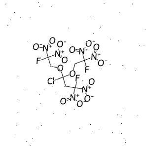 O=[N+]([O-])C(F)(COC(Cl)(CC(F)([N+](=O)[O-])[N+](=O)[O-])OCC(F)([N+](=O)[O-])[N+](=O)[O-])[N+](=O)[O-]